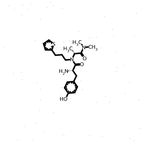 C[C@H](C(=O)N(C)C)N(CCCc1cccs1)C(=O)[C@@H](N)Cc1ccc(O)cc1